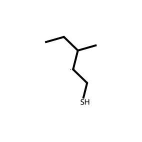 CCC(C)[CH]CS